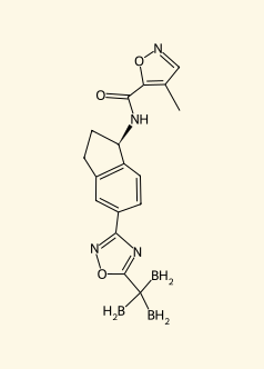 BC(B)(B)c1nc(-c2ccc3c(c2)CC[C@H]3NC(=O)c2oncc2C)no1